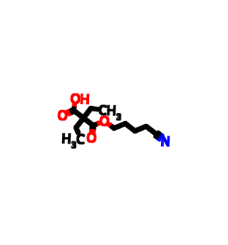 CCC(CC)(C(=O)O)C(=O)OCCCCC#N